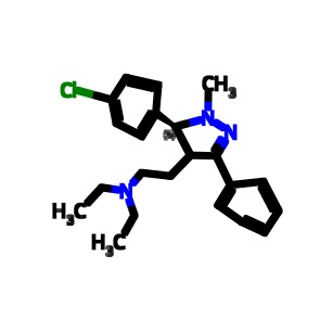 CCN(CC)CCC1C(c2ccccc2)=NN(C)[C@@H]1c1ccc(Cl)cc1